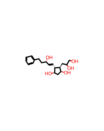 OCC(O)C[C@@H]1[C@@H](/C=C/[C@@H](O)CCc2ccccc2)[C@H](O)C[C@@H]1O